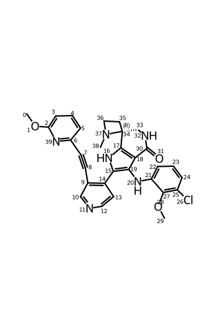 COc1cccc(C#Cc2cnccc2-c2[nH]c3c(c2Nc2cccc(Cl)c2OC)C(=O)NC[C@]32CCN2C)n1